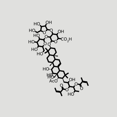 C/C=C(/C)C(=O)OC(C(C)O)C(OC(=O)/C(C)=C\C)C(O)C[C@H]1[C@H](OC(C)=O)[C@@]2(CO)C(CC1(C)C)C1=CCC3[C@@](C)(CCC4C(C)(C)[C@@H](OC5OC(C(=O)O)C(O)C(OC6OC(CO)C(O)C6O)C5OC5OC(CO)C(O)C(O)C5O)CC[C@@]43C)C1[C@@H](O)[C@H]2O